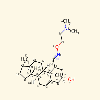 CN(C)CCO/N=C/C1C[C@H](O)CC2=CC[C@H]3[C@@H]4CCC[C@@]4(C)CC[C@@H]3[C@]21C